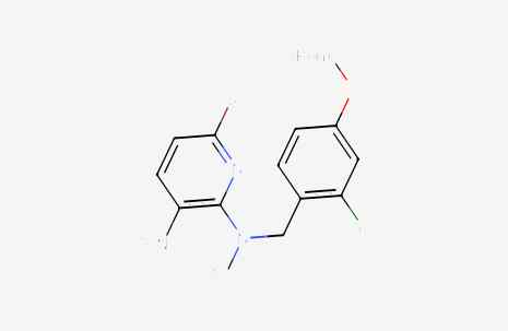 CCCCCOc1ccc(CN(C(C)=O)c2nc(Br)ccc2[N+](=O)[O-])c(Cl)c1